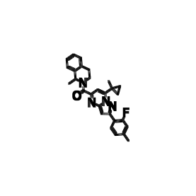 Cc1ccc(-c2cc3nc(C(=O)N4CCc5ccccc5C4C)cc(C4(C)CC4)n3n2)c(F)c1